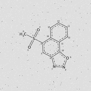 CS(=O)(=O)c1cc2nnoc2c2ccccc12